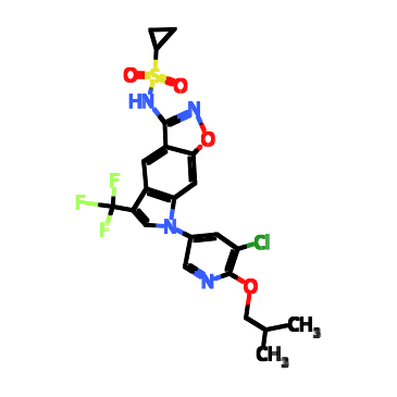 CC(C)COc1ncc(-n2cc(C(F)(F)F)c3cc4c(NS(=O)(=O)C5CC5)noc4cc32)cc1Cl